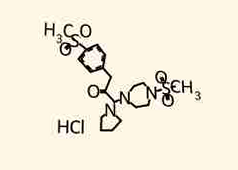 CS(=O)(=O)c1ccc(CC(=O)C(N2CCCC2)N2CCN(S(C)(=O)=O)CC2)cc1.Cl